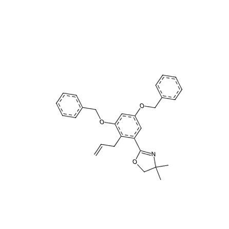 C=CCc1c(OCc2ccccc2)cc(OCc2ccccc2)cc1C1=NC(C)(C)CO1